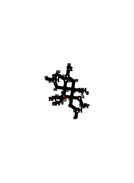 CCCOC(CPC)(OCCC)C(N)(COCC)C(CPC)(OCCC)OCCC